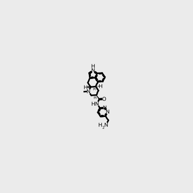 CN1C[C@H](C(=O)Nc2ccc(CN)nn2)C[C@@H]2c3cccc4[nH]cc(c34)C[C@H]21